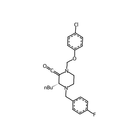 CCCC[C@@H]1C(=C=O)N(COc2ccc(Cl)cc2)CCN1Cc1ccc(F)cc1